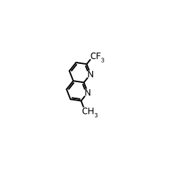 Cc1ccc2ccc(C(F)(F)F)nc2n1